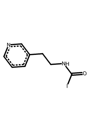 O=C(I)NCCc1cccnc1